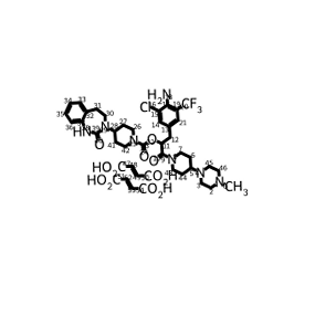 CN1CCN(C2CCN(C(=O)C(Cc3cc(Cl)c(N)c(C(F)(F)F)c3)OC(=O)N3CCC(N4CCc5ccccc5NC4=O)CC3)CC2)CC1.O=C(O)C=CC(=O)O.O=C(O)C=CC(=O)O